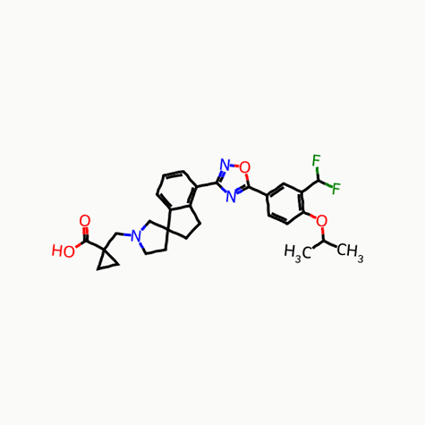 CC(C)Oc1ccc(-c2nc(-c3cccc4c3CCC43CCN(CC4(C(=O)O)CC4)C3)no2)cc1C(F)F